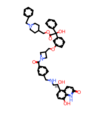 O=C(c1ccc(CNC[C@H](O)c2ccc(O)c3[nH]c(=O)ccc23)cc1)N1CC(COc2cccc(C(O)(C(=O)OCC3CCN(Cc4ccccc4)CC3)c3ccccc3)c2)C1